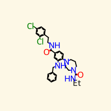 CCNC(=O)N1CCCN(c2ccc(C(=O)NCCc3ccc(Cl)cc3Cl)cc2NCc2ccccc2)CC1